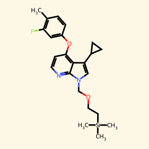 Cc1ccc(Oc2ccnc3c2c(C2CC2)cn3COCC[Si](C)(C)C)cc1F